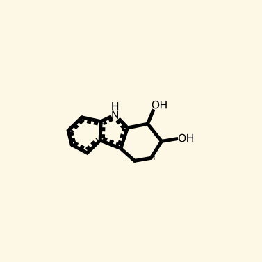 OC1[C]Cc2c([nH]c3ccccc23)C1O